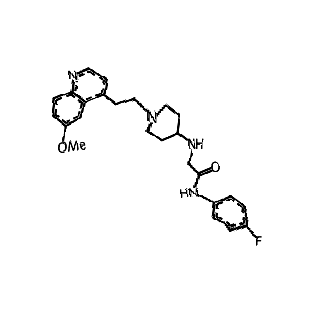 COc1ccc2nccc(CCN3CCC(NCC(=O)Nc4ccc(F)cc4)CC3)c2c1